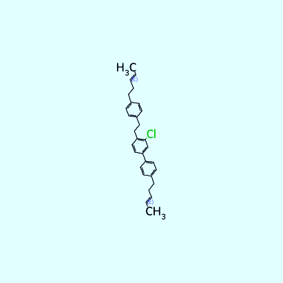 C/C=C/CCc1ccc(CCc2ccc(-c3ccc(CC/C=C/C)cc3)cc2Cl)cc1